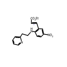 CCOC(=O)/C=C/c1cc([N+](=O)[O-])ccc1NCCc1ccccn1